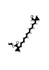 CCOC(=O)C1(CCCCCCCCCCCC2(C=O)CC2)CC1